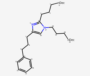 CCCCCCCCCCCCCc1nc(CCCc2ccccc2)cn1CCCCCCCCCCCCC